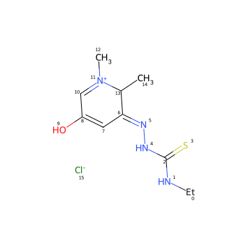 CCNC(=S)NN=C1C=C(O)C=[N+](C)C1C.[Cl-]